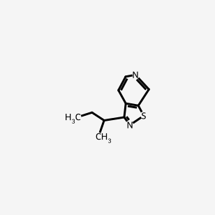 CCC(C)c1nsc2cnccc12